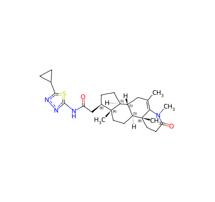 CC1=C2N(C)C(=O)CC[C@]2(C)[C@H]2CC[C@]3(C)[C@@H](CC(=O)Nc4nnc(C5CC5)s4)CC[C@H]3[C@@H]2C1